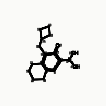 O=c1c(B(O)O)cc2c(n1CC1CCC1)CCCC2